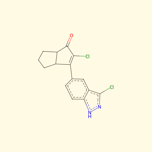 O=C1C(Cl)=C(c2ccc3[nH]nc(Cl)c3c2)C2CCCC12